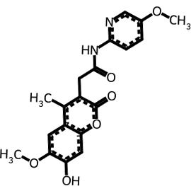 COc1ccc(NC(=O)Cc2c(C)c3cc(OC)c(O)cc3oc2=O)nc1